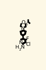 CC(C)[C@@H]1CN(c2ccc(-c3cnc(N)c(Cl)c3F)cc2)CCO1